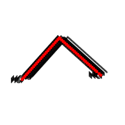 Cl.Cl.Cl.Cl.Cl.Cl.Cl.Cl.[Na+].[Na+].[Na+].[Na+].[Na+].[Na+].[Na+].[Na+].[Na+].[Na+].[Na+].[Na+].[Na+].[Na+].[Na+].[Na+].[Na+].[Na+].[Na+].[Na+].[Na+].[Na+].[Na+].[Na+].[Na+].[Na+].[Na+].[Na+].[Na+].[Na+].[Na+].[Na+].[Na+].[Na+].[Na+].[Na+].[Na+].[Na+].[Na+].[Na+].[Na+].[Na+].[Na+].[Na+].[Na+].[Na+].[Na+].[Na+].[Na+].[Na+].[Na+].[Na+].[Na+].[Na+].[Na+].[Na+].[Na+].[Na+].[Na+].[Na+].[Na+].[Na+].[Na+].[Na+].[Na+].[Na+].[Na+].[Na+].[Na+].[Na+].[Na+].[Na+].[Na+].[Na+].[Na+].[Na+].[Na+].[Na+].[Na+].[Na+].[Na+].[Na+].[Na+].[Na+].[Na+].[Na+].[Na+].[Na+].[Na+].[Na+].[Na+].[Na+].[Na+].[Na+].[Na+].[Na+].[Na+].[Na+].[Na+]